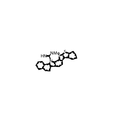 CNC(=N)n1c2c3ccccc3ccc2c2ccc3c(sc4sc5ccccc5c43)c21